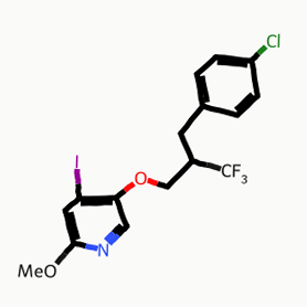 COc1cc(I)c(OCC(Cc2ccc(Cl)cc2)C(F)(F)F)cn1